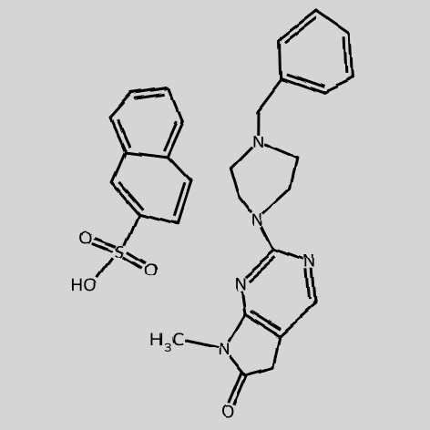 CN1C(=O)Cc2cnc(N3CCN(Cc4ccccc4)CC3)nc21.O=S(=O)(O)c1ccc2ccccc2c1